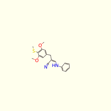 COc1cc(CC(C#N)=CNc2ccccc2)cc(OC)c1SC